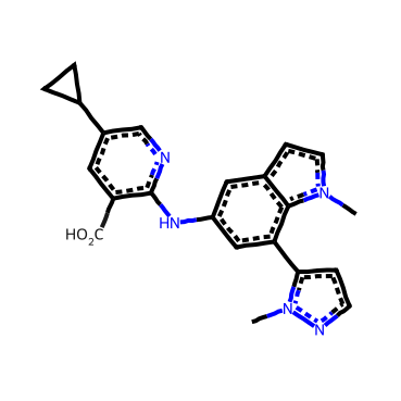 Cn1nccc1-c1cc(Nc2ncc(C3CC3)cc2C(=O)O)cc2ccn(C)c12